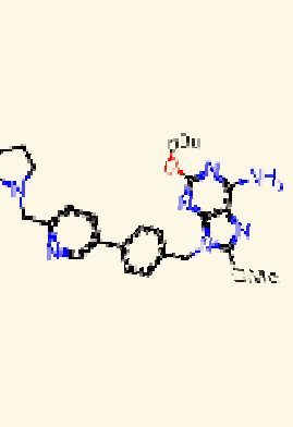 CCCCOc1nc(N)c2nc(OC)n(Cc3ccc(-c4ccc(CN5CCCC5)nc4)cc3)c2n1